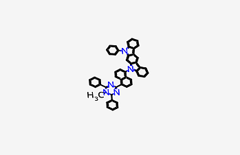 CN1C(c2ccccc2)=NC(c2cccc3c(-n4c5ccccc5c5cc6c7ccccc7n(-c7ccccc7)c6cc54)cccc23)=NC1c1ccccc1